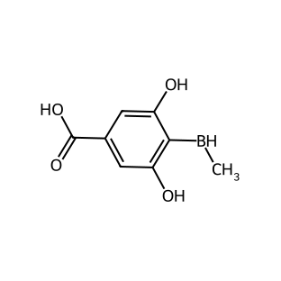 CBc1c(O)cc(C(=O)O)cc1O